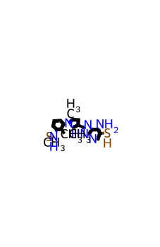 CSNc1cccc(-n2c(C)cc(-c3nc4c(N)c(S)cnc4[nH]3)c2C)c1C